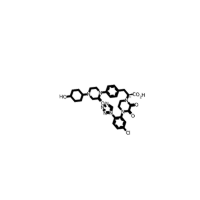 O=C(O)[C@H](Cc1ccc(N2CCN(C3CCC(O)CC3)CC2=O)cc1)N1CCN(c2cc(Cl)ccc2-n2cnnn2)C(=O)C1=O